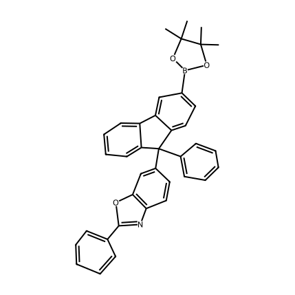 CC1(C)OB(c2ccc3c(c2)-c2ccccc2C3(c2ccccc2)c2ccc3nc(-c4ccccc4)oc3c2)OC1(C)C